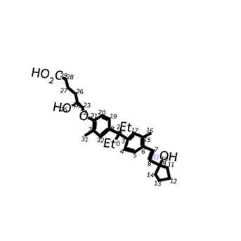 CCC(CC)(c1ccc(/C=C/C2(O)CCCC2)c(C)c1)c1ccc(OC[C@@H](O)CCCC(=O)O)c(C)c1